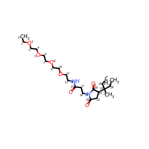 CCOCCOCCOCCOCCNC(=O)CCN1C(=O)CC(C(C)(CC)CC)C1=O